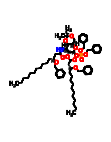 CCCCCCCCCCC[C@H](CC(=O)N[C@@H]1[C@@H](OC(=O)C[C@@H](CCCCCCCCCCC)OCc2ccccc2)[C@@H](OP(=O)(OCc2ccccc2)OCc2ccccc2)O[C@@H]2COC(C)(C)O[C@@H]12)OCc1ccccc1